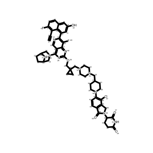 C#Cc1c(F)ccc2cc(O)cc(-c3ncc4c(N5CC6CCC(C5)N6)nc(OCC5(CN6CCN(CC7CCN(c8ccc9c(c8Cl)CN(C8CCC(=O)NC8=O)C9=O)CC7)CC6)CC5)nc4c3F)c12